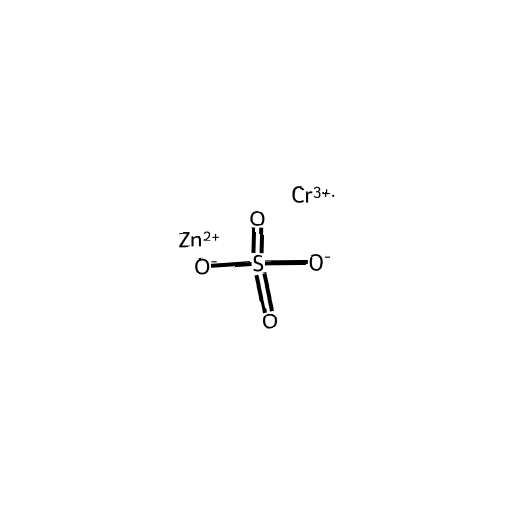 O=S(=O)([O-])[O-].[Cr+3].[Zn+2]